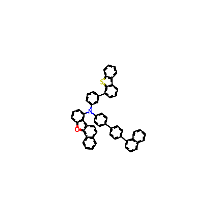 c1cc(-c2cccc3c2sc2ccccc23)cc(N(c2ccc(-c3ccc(-c4cccc5ccccc45)cc3)cc2)c2cccc3oc4c5ccccc5ccc4c23)c1